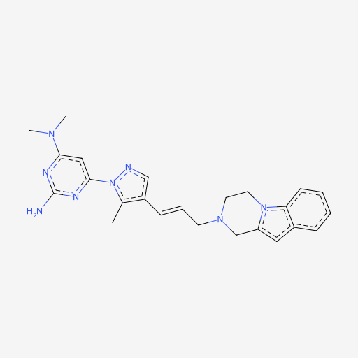 Cc1c(/C=C/CN2CCn3c(cc4ccccc43)C2)cnn1-c1cc(N(C)C)nc(N)n1